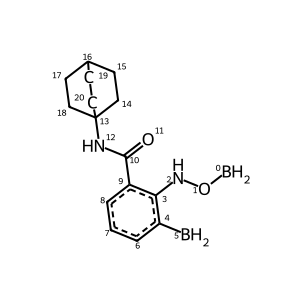 BONc1c(B)cccc1C(=O)NC12CCC(CC1)CC2